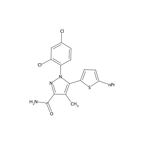 CCCc1ccc(-c2c(C)c(C(N)=O)nn2-c2ccc(Cl)cc2Cl)s1